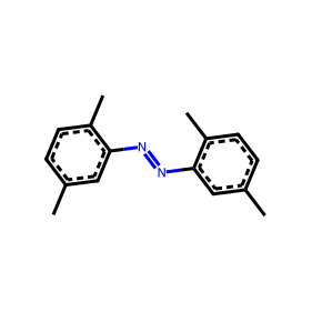 Cc1ccc(C)c(/N=N/c2cc(C)ccc2C)c1